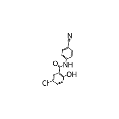 N#Cc1ccc(NC(=O)c2cc(Cl)ccc2O)cc1